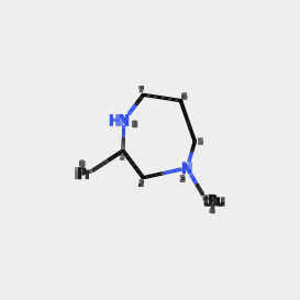 CC(C)C1CN(C(C)(C)C)CCCN1